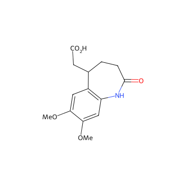 COc1cc2c(cc1OC)C(CC(=O)O)CCC(=O)N2